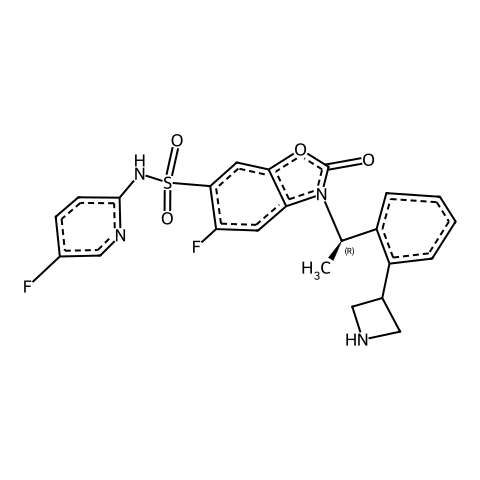 C[C@H](c1ccccc1C1CNC1)n1c(=O)oc2cc(S(=O)(=O)Nc3ccc(F)cn3)c(F)cc21